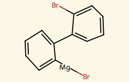 [Br][Mg][c]1ccccc1-c1ccccc1Br